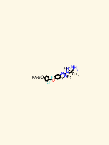 CCN(C(=Nc1ccc(OC(F)(F)c2ccc(OC)cc2F)cc1)NCC(C)(C)CN)C(C)C